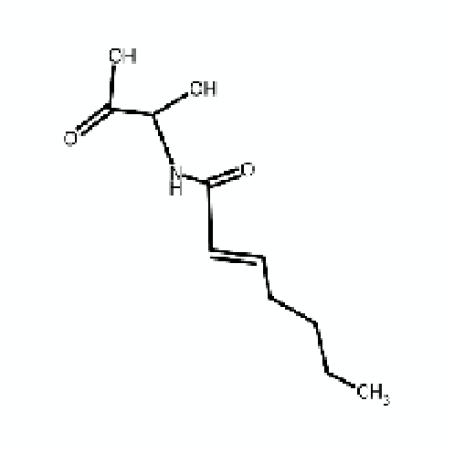 CCCCC=CC(=O)NC(O)C(=O)O